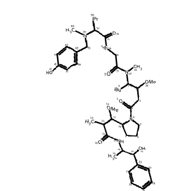 CCC(C)C(C(CC(=O)N1CCCC1C(OC)C(C)C(=O)NC(C)C(O)c1ccccc1)OC)N(C)C(=O)CNC(=O)C(C(C)C)N(C)Cc1ccc(O)cc1